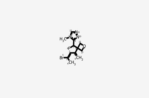 C=C(/C=C(\C)Br)C1(C(F)c2nncn2C)COC1